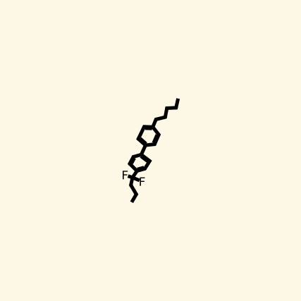 CCCCCc1ccc(-c2ccc(C(F)(F)CCC)cc2)cc1